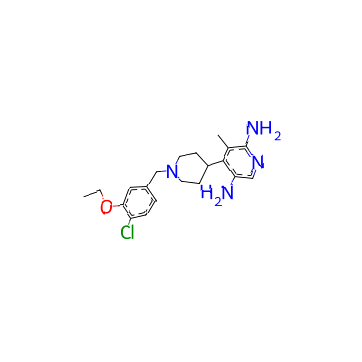 CCOc1cc(CN2CCC(c3c(N)cnc(N)c3C)CC2)ccc1Cl